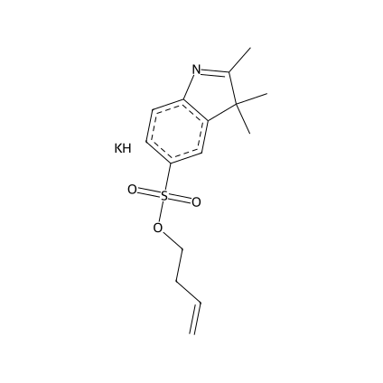 C=CCCOS(=O)(=O)c1ccc2c(c1)C(C)(C)C(C)=N2.[KH]